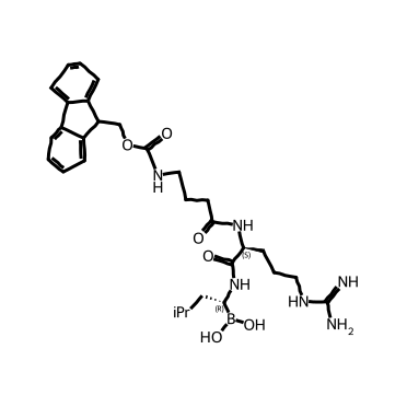 CC(C)C[C@H](NC(=O)[C@H](CCCNC(=N)N)NC(=O)CCCNC(=O)OCC1c2ccccc2-c2ccccc21)B(O)O